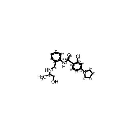 C[C@H](CO)NCc1ccccc1NC(=O)c1ccc(N2CCCC2)cc1Cl